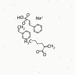 C=C(CCCC)C(=O)[O-].C=Cc1ccccc1.O=S(=O)(O)C=Cc1ccccc1.[Na+]